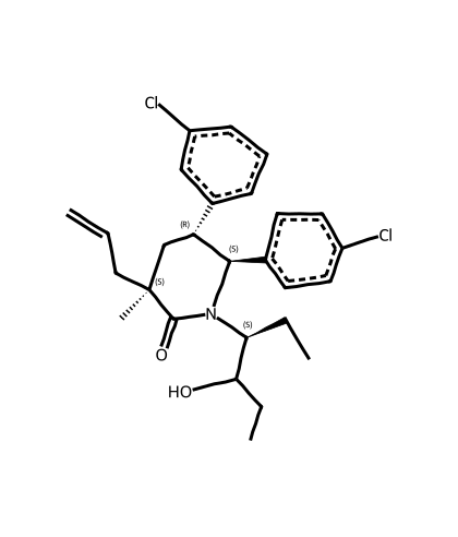 C=CC[C@@]1(C)C[C@H](c2cccc(Cl)c2)[C@@H](c2ccc(Cl)cc2)N([C@@H](CC)C(O)CC)C1=O